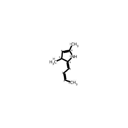 C/C=C\C=C1\NC(C)=CC1C